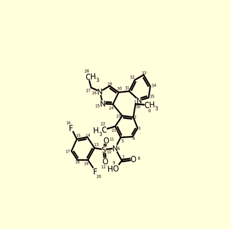 CCc1ccc(N(C(=O)O)S(=O)(=O)c2cc(F)ccc2F)c(C)c1-c1nn(CC)cc1-c1ccccn1